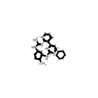 C1CCCCC1.Cc1ccc(NC(=O)O)cc1Nc1nccc(-c2cccnc2)n1